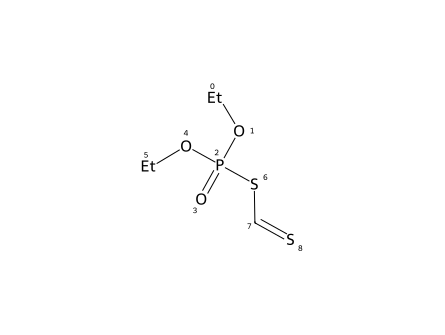 CCOP(=O)(OCC)SC=S